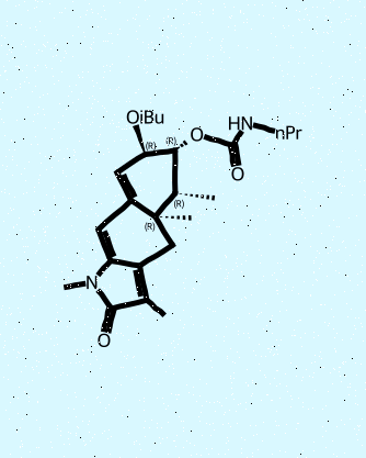 CCCNC(=O)O[C@H]1[C@H](OCC(C)C)C=C2C=C3C(=C(C)C(=O)N3C)C[C@]2(C)[C@H]1C